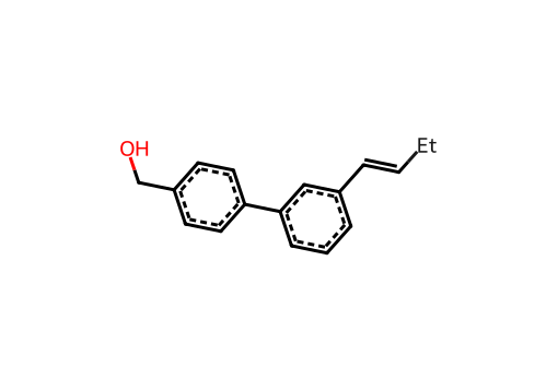 CC/C=C/c1cccc(-c2ccc(CO)cc2)c1